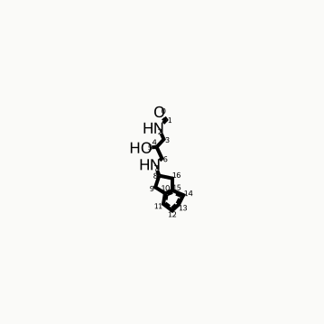 O=CNCC(O)CNC1Cc2ccccc2C1